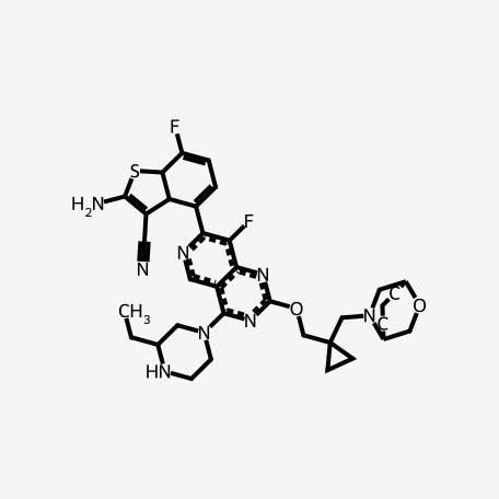 CCC1CN(c2nc(OCC3(CN4CC5CCCC4CO5)CC3)nc3c(F)c(C4=CC=C(F)C5SC(N)=C(C#N)C45)ncc23)CCN1